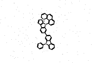 C1=Cc2ccc3cccc(-n4c5c(c6ccc(-c7ccc8c9ccccc9n(-c9ccccc9)c8c7)cc64)C=CC5)c3c2NC1